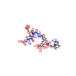 C=C(C)N(CC12CC3(C)CC(C)(C1)CC(OCCN(C)C(=O)OCc1ccc(NC(=O)[C@H](C)NC(=O)[C@@H](NC(=O)CN4C(=O)[C@@H](NC(=O)CCC(=O)O)C[C@H]4COCCS(=O)(=O)O)C(C)C)cc1CC[C@@H]1O[C@H](C(=O)O)[C@@H](O)[C@H](O)[C@H]1O)(C3)C2)N(C)CC